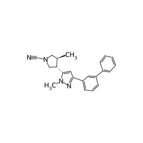 C[C@@H]1CN(C#N)C[C@H]1c1cc(-c2cccc(-c3ccccc3)c2)nn1C